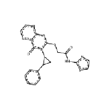 O=C(CSc1nc2nccnc2c(=O)n1C1CC1c1ccccc1)Nc1nccs1